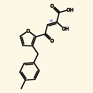 Cc1ccc(Cc2ccoc2C(=O)/C=C(\O)C(=O)O)cc1